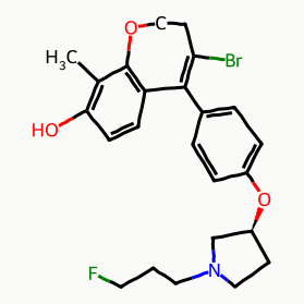 Cc1c(O)ccc2c1OCCC(Br)=C2c1ccc(O[C@H]2CCN(CCCF)C2)cc1